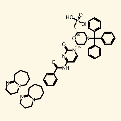 C1CCC2=NCCCN2CC1.C1CCC2=NCCCN2CC1.O=C(Nc1ccn([C@H]2CN(C(c3ccccc3)(c3ccccc3)c3ccccc3)C[C@@H](CP(=O)(O)O)O2)c(=O)n1)c1ccccc1